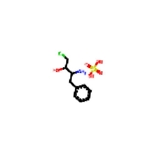 NC(Cc1ccccc1)C(O)CCl.O=S(=O)(O)O